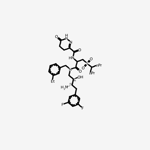 CCCC(CCC)S(=O)(=O)CC(NC(=O)C1=NNC(=O)CC1)C(=O)N(Cc1cccc(CC)c1)C[C@@H](O)[C@@H](N)Cc1cc(F)cc(F)c1